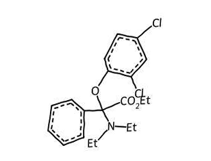 CCOC(=O)C(Oc1ccc(Cl)cc1Cl)(c1ccccc1)N(CC)CC